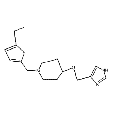 CCc1ccc(CN2CCC(OCc3c[nH]cn3)CC2)s1